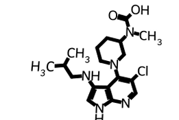 CC(C)CNc1c[nH]c2ncc(Cl)c(N3CCCC(N(C)C(=O)O)C3)c12